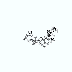 Cc1cc(Cl)c2cc(C(=O)N[C@H](C)c3ccc(S(=O)(=O)CC(=O)NC(C)C)cc3)n(C)c2c1